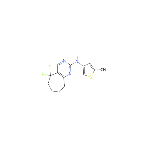 N#Cc1cc(Nc2ncc3c(n2)CCCCC3(F)F)cs1